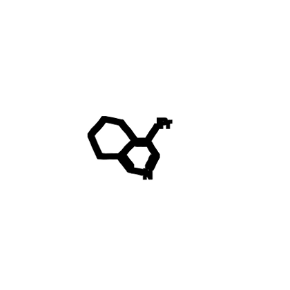 CC(C)c1cncc2c1CCCC2